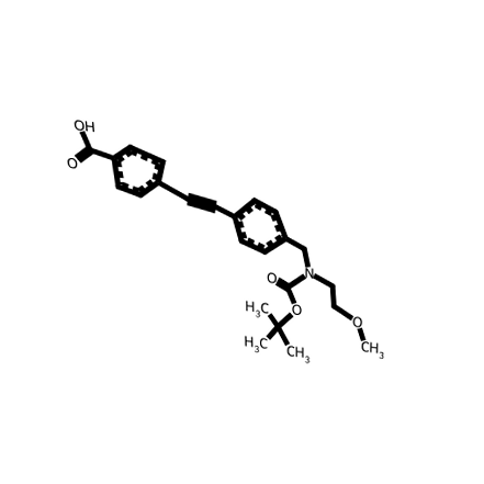 COCCN(Cc1ccc(C#Cc2ccc(C(=O)O)cc2)cc1)C(=O)OC(C)(C)C